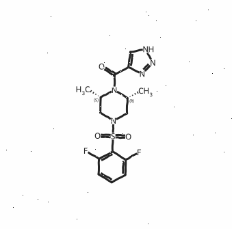 C[C@@H]1CN(S(=O)(=O)c2c(F)cccc2F)C[C@H](C)N1C(=O)c1c[nH]nn1